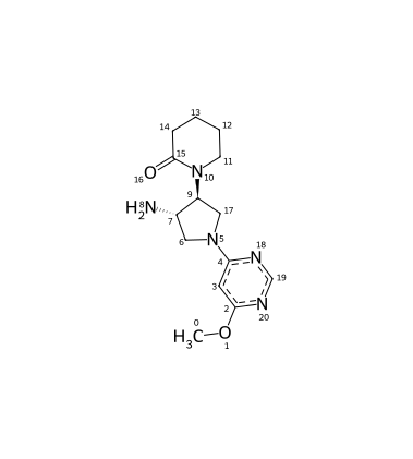 COc1cc(N2C[C@H](N)[C@@H](N3CCCCC3=O)C2)ncn1